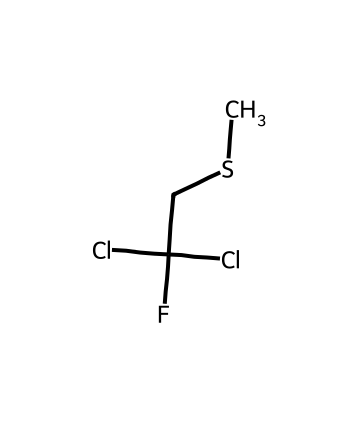 CSCC(F)(Cl)Cl